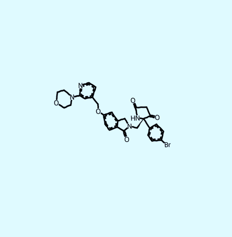 O=C1CC(=O)[C@](CN2Cc3cc(OCc4ccnc(N5CCOCC5)c4)ccc3C2=O)(c2ccc(Br)cc2)N1